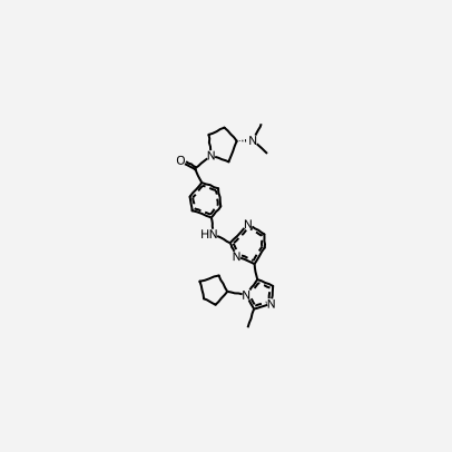 Cc1ncc(-c2ccnc(Nc3ccc(C(=O)N4CC[C@H](N(C)C)C4)cc3)n2)n1C1CCCC1